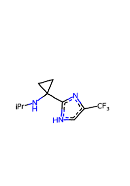 CC(C)NC1(c2nc(C(F)(F)F)c[nH]2)CC1